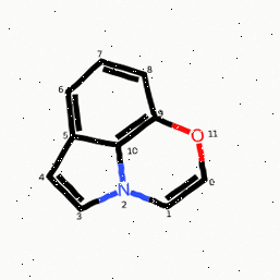 C1=Cn2ccc3cccc(c32)O1